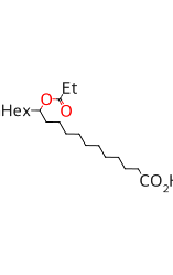 CCCCCCC(CCCCCCCCCCC(=O)O)OC(=O)CC